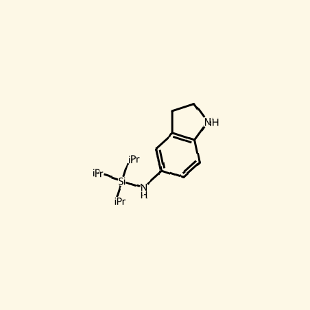 CC(C)[Si](Nc1ccc2c(c1)CCN2)(C(C)C)C(C)C